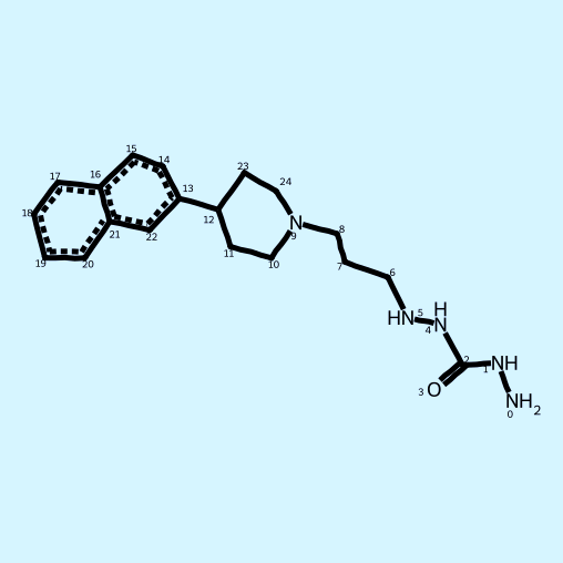 NNC(=O)NNCCCN1CCC(c2ccc3ccccc3c2)CC1